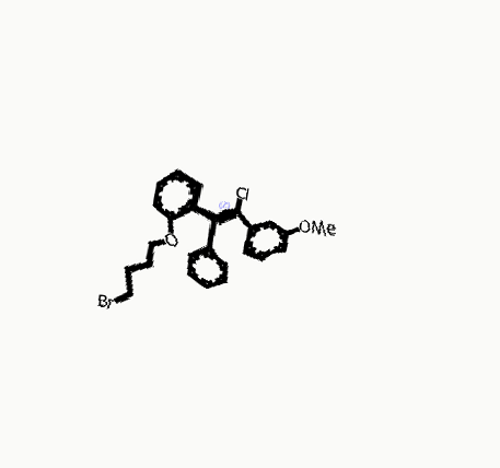 COc1cccc(/C(Cl)=C(\c2ccccc2)c2ccccc2OCCCCBr)c1